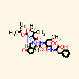 CCCC(NC(=O)[C@@H]1[C@H]2CCC(=O)[C@H]2CN1C(=O)[C@@H](NC(=O)OC(C)C)C(C)C)C(=O)C(=O)N[C@@H](Cc1ccccc1)C(=O)O